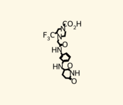 O=C1CCC(Nc2cccc(NC(=O)CN3CCN(C(=O)O)CC3C(F)(F)F)c2)C(=O)N1